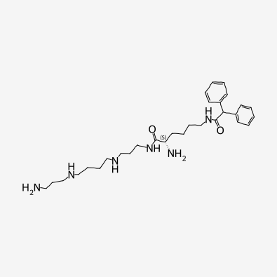 NCCCNCCCCNCCCNC(=O)[C@@H](N)CCCCNC(=O)C(c1ccccc1)c1ccccc1